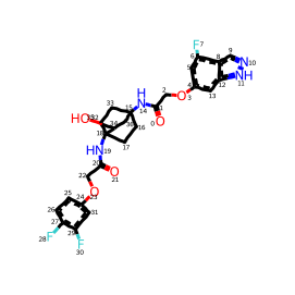 O=C(COc1cc(F)c2cn[nH]c2c1)NC12CCC(NC(=O)COc3ccc(F)c(F)c3)(CC1)C(O)C2